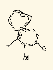 Cc1c(O)c(Cl)cc2ccccc12